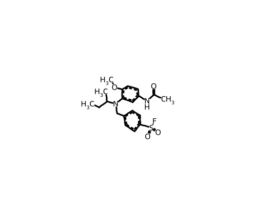 CCC(C)N(Cc1ccc(S(=O)(=O)F)cc1)c1cc(NC(C)=O)ccc1OC